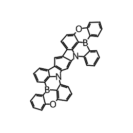 c1ccc2c(c1)Oc1cccc3c1B2c1cccc2c4cc5c6ccc7c8c6n(c5cc4n-3c12)-c1ccccc1B8c1ccccc1O7